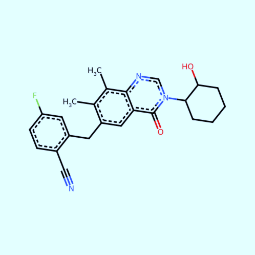 Cc1c(Cc2cc(F)ccc2C#N)cc2c(=O)n(C3CCCCC3O)cnc2c1C